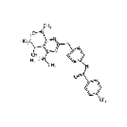 CC(C(=O)O)c1c(N(C)C)nc(Cc2ccc(NC(=O)c3ccc(C(F)(F)F)cc3)cc2)nc1N(C)C